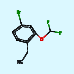 N#CCc1ccc(Br)cc1OC(F)F